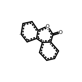 O=c1oc2cc[c]cc2c2ccccc12